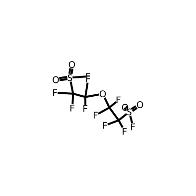 O=S(=O)(F)C(F)(F)C(F)(F)OC(F)(F)C(F)(F)S(=O)(=O)F